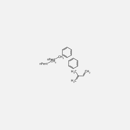 C=CC(=C)C.CCCCCC.CCCCCC.c1ccccc1.c1ccccc1